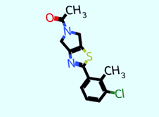 CC(=O)N1Cc2nc(-c3cccc(Cl)c3C)sc2C1